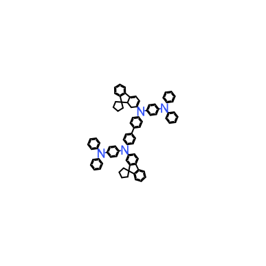 C1=C2c3ccccc3C3(CCCC3)C2CC(N(c2ccc(-c3ccc(N(c4ccc(N(c5ccccc5)c5ccccc5)cc4)c4ccc5c(c4)C4(CCCC4)c4ccccc4-5)cc3)cc2)c2ccc(N(c3ccccc3)c3ccccc3)cc2)=C1